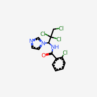 O=C(NC(n1ccnc1)C(Cl)(Cl)CCl)c1ccccc1Cl